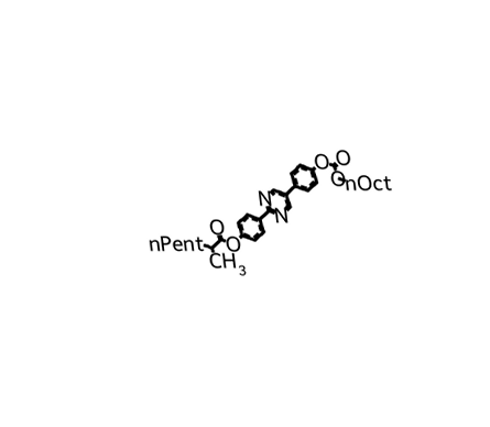 CCCCCCCCOC(=O)Oc1ccc(-c2cnc(-c3ccc(OC(=O)C(C)CCCCC)cc3)nc2)cc1